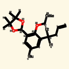 C=CCC(CC)(CC)c1cc(C(C)(C)C)cc(B2OC(C)(C)C(C)(C)O2)c1OCOC